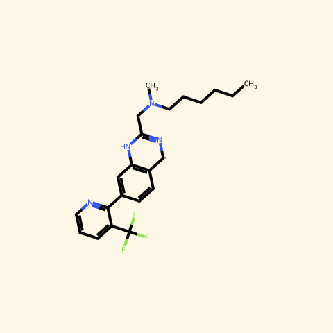 CCCCCCN(C)CC1=N[CH]c2ccc(-c3ncccc3C(F)(F)F)cc2N1